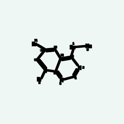 [Na][Se]c1ncnc2c(Br)cc(Br)cc12